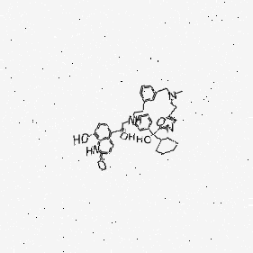 CN(CCc1cnc(C(O)(c2ccccc2)C2CCCCC2)o1)Cc1cccc(CCNC[C@H](O)c2ccc(O)c3[nH]c(=O)ccc23)c1